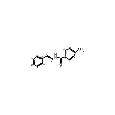 Cc1ccc(C(=O)N/N=C/c2ccccc2)cc1